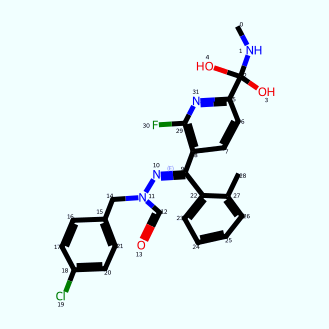 CNC(O)(O)c1ccc(/C(=N/N(C=O)Cc2ccc(Cl)cc2)c2ccccc2C)c(F)n1